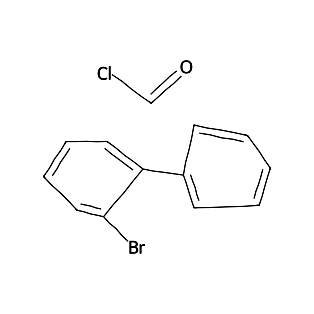 Brc1ccccc1-c1ccccc1.O=CCl